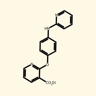 CCOC(=O)c1cccnc1Oc1ccc(Nc2ccccn2)cc1